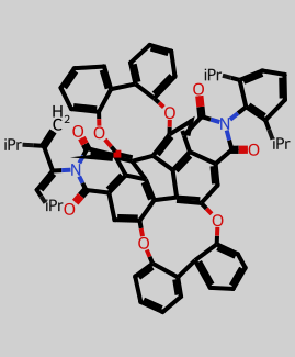 C=C(/C(=C/C(C)C)n1c(=O)c2cc3oc4ccccc4c4ccccc4oc4cc5c(=O)n(-c6c(C(C)C)cccc6C(C)C)c(=O)c6cc7oc8ccccc8c8ccccc8oc8cc(c1=O)c2c1c3c4c(c56)c7c81)C(C)C